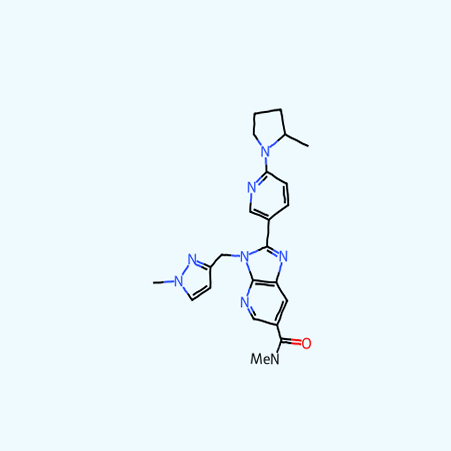 CNC(=O)c1cnc2c(c1)nc(-c1ccc(N3CCCC3C)nc1)n2Cc1ccn(C)n1